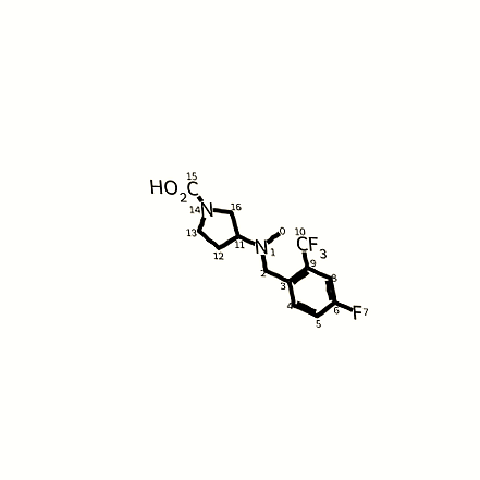 CN(Cc1ccc(F)cc1C(F)(F)F)C1CCN(C(=O)O)C1